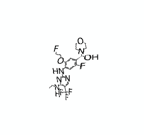 CCNc1nc(Nc2cc(F)c(C(O)N3CCOCC3)cc2OCCF)ncc1C(F)(F)F